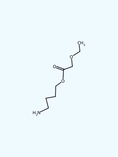 CCOCC(=O)OCCCCN